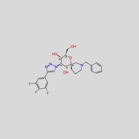 OC[C@H]1O[C@@]2(CCCN(Cc3ccccc3)C2)[C@H](O)[C@@H](n2cc(-c3cc(F)c(F)c(F)c3)nn2)[C@H]1O